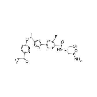 C[C@@H](Oc1ccc(C(=O)C2CC2)nc1)c1cc(-c2ccc(C(=O)N[C@H](CO)CC(N)=O)c(F)c2)ns1